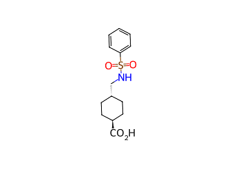 O=C(O)[C@H]1CC[C@H](CNS(=O)(=O)c2ccccc2)CC1